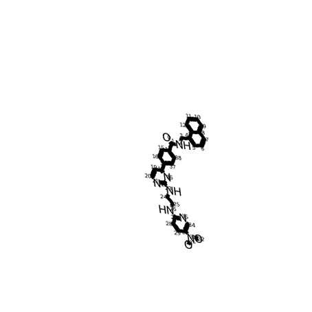 O=C(NCc1cccc2ccccc12)c1ccc(-c2ccnc(NCCNc3ccc([N+](=O)[O-])cn3)n2)cc1